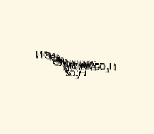 Cc1cc(N=Nc2ccc(N=Nc3ccc(O)cc3O)c3ccc(S(=O)(=O)O)cc23)ccc1N=Nc1ccc(S(=O)(=O)O)cc1